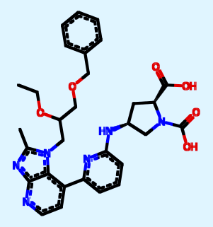 CCOC(COCc1ccccc1)Cn1c(C)nc2nccc(-c3cccc(N[C@H]4C[C@@H](C(=O)O)N(C(=O)O)C4)n3)c21